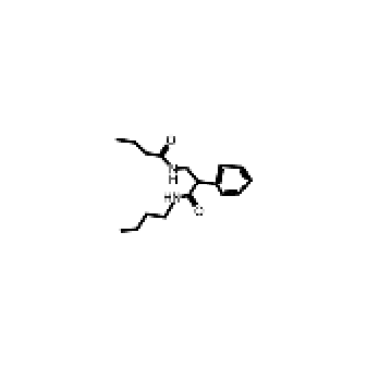 CCCCNC(=O)C(CNC(=O)CCC)c1ccccc1